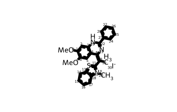 COc1cc2c(cc1OC)C(=C(C)c1sc3ccccc3[n+]1C)N=C(c1ccccc1)N2.[I-]